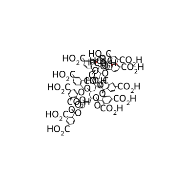 CC(C)C(CC(CC(CC(CC(CC(CC(CCOC(=O)c1ccc(C(=O)O)cc1C(=O)O)OC(=O)c1ccc(C(=O)O)cc1C(=O)O)OC(=O)c1ccc(C(=O)O)cc1C(=O)O)OC(=O)c1ccc(C(=O)O)cc1C(=O)O)OC(=O)c1ccc(C(=O)O)cc1C(=O)O)OC(=O)c1ccc(C(=O)O)cc1C(=O)O)OC(=O)c1ccc(C(=O)O)cc1C(=O)O)OC(=O)c1ccc(C(=O)O)cc1C(=O)O